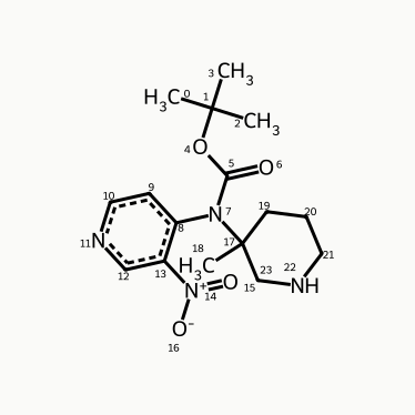 CC(C)(C)OC(=O)N(c1ccncc1[N+](=O)[O-])C1(C)CCCNC1